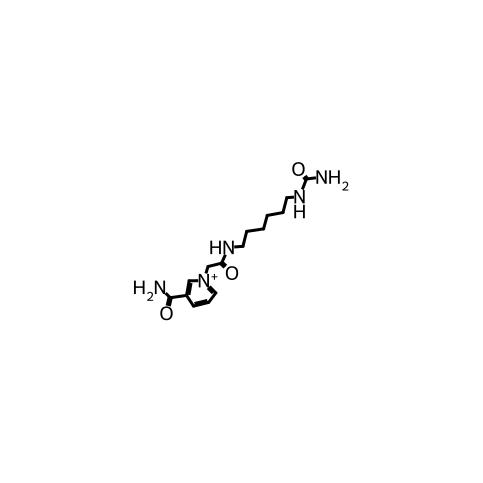 NC(=O)NCCCCCCNC(=O)C[n+]1cccc(C(N)=O)c1